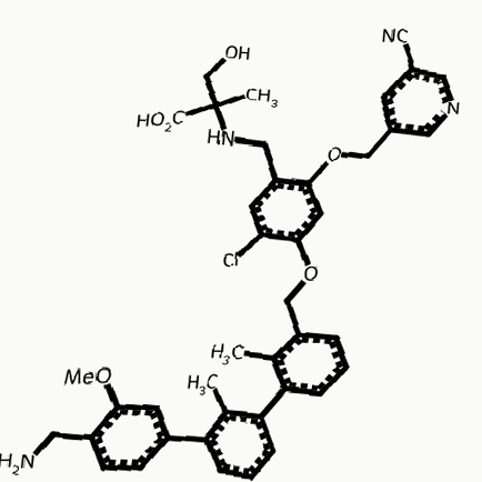 COc1cc(-c2cccc(-c3cccc(COc4cc(OCc5cncc(C#N)c5)c(CNC(C)(CO)C(=O)O)cc4Cl)c3C)c2C)ccc1CN